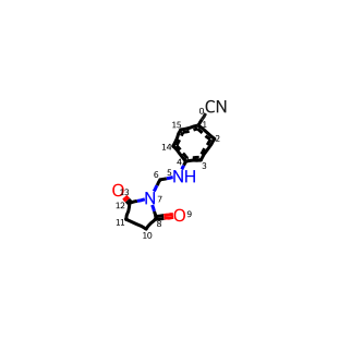 N#Cc1ccc(NCN2C(=O)CCC2=O)cc1